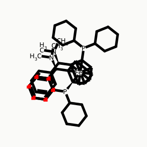 CN(C)[C@H](c1ccccc1)[C]12[CH]3[CH]4[CH]5[C]1(P(C1CCCCC1)C1CCCCC1)[Fe]43521678[CH]2[CH]1[C]6([C@@H](c1ccccc1)N(C)C)[C@@]7(P(C1CCCCC1)C1CCCCC1)[CH]28